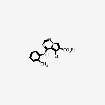 CCOC(=O)c1cn2ncnc(Nc3ccccc3C)c2c1CC